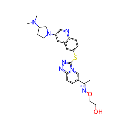 C/C(=N\OCCO)c1ccc2nnc(Sc3ccc4ncc(N5CCC(N(C)C)C5)cc4c3)n2c1